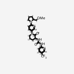 COCC1CCCN1c1ccc(N2CCCC(NC(=O)Nc3ccc(C(F)(F)F)cn3)C2=O)cn1